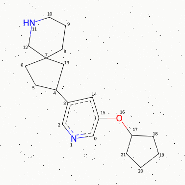 c1ncc(C2CCC3(CCCNC3)C2)cc1OC1CCCC1